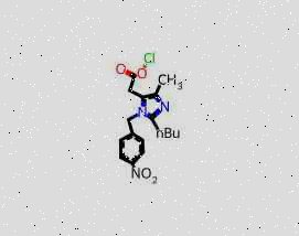 CCCCc1nc(C)c(CC(=O)OCl)n1Cc1ccc([N+](=O)[O-])cc1